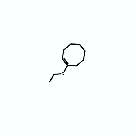 CCOC1=CCCCCCC1